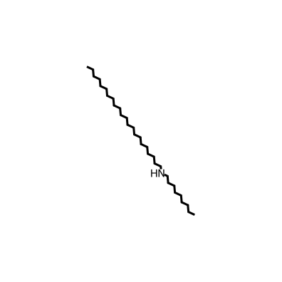 CCCCCCCCCCCCCCCCCCCCCCNCCCCCCCCC